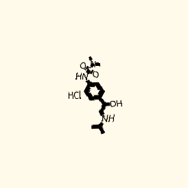 CC(C)NCC(O)c1ccc(NS(=O)(=O)N(C)C)cc1.Cl